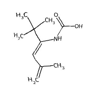 C=C(C)C=C(NC(=O)O)C(C)(C)C